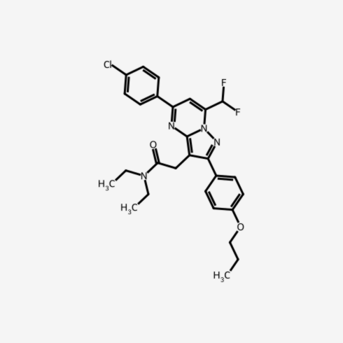 CCCOc1ccc(-c2nn3c(C(F)F)cc(-c4ccc(Cl)cc4)nc3c2CC(=O)N(CC)CC)cc1